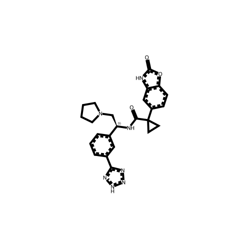 O=C(N[C@H](CN1CCCC1)c1cccc(-c2nn[nH]n2)c1)C1(c2ccc3oc(=O)[nH]c3c2)CC1